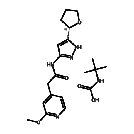 CC(C)(C)NC(=O)O.COc1cc(CC(=O)Nc2cc([C@@H]3CCCO3)[nH]n2)ccn1